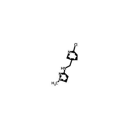 Cn1ccc(NCc2ccc(Cl)nc2)n1